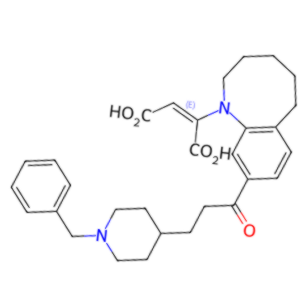 O=C(O)/C=C(\C(=O)O)N1CCCCCc2ccc(C(=O)CCC3CCN(Cc4ccccc4)CC3)cc21